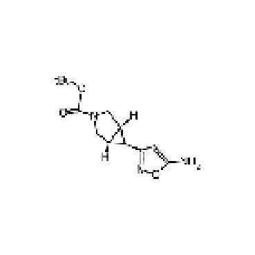 CC(C)(C)OC(=O)N1C[C@@H]2[C@H](C1)[C@H]2c1cc(N)on1